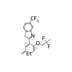 C=C/C=C(C1=Nc2cc(C(F)(F)F)ccc2C1)\C(=C/CC)OCC(C)(F)F